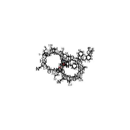 CCCC[C@@H](C)C[C@@H]1NC(=O)[C@@H](CCC#N)OC(=O)[C@H](C)N(C)C(=O)[C@H](C[C@@H](C)CCCC)NC(=O)[C@H](Cc2cn(-c3ccccc3)nn2)N(C)C(=O)[C@H](C[C@@H](C)CCC(C)C[C@@H]2NC(=O)[C@H](Cc3cn(Cc4cccc(OC(F)(F)F)c4)c4ccccc34)N(C)C(=O)[C@H](CC(C)C)NC(=O)[C@H](CC(C)C)N(C)C(=O)[C@H](CC(C)C)NC(=O)[C@@H](CCC#N)OC(=O)[C@H](C)N(C)C2=O)NC(=O)[C@H](CC(C)C)N(C)C1=O